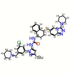 CC(C)(C)c1cc(NC(=O)N[C@H]2CCC(Sc3ccc4nnc(N5CCCCC5)n4c3)c3ccccc32)n(-c2cc(Cl)cc(CN3CCCCC3)c2)n1